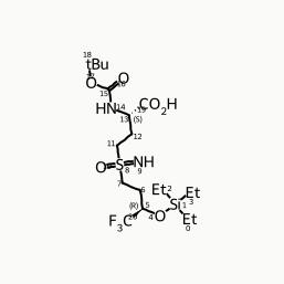 CC[Si](CC)(CC)O[C@H](CCS(=N)(=O)CC[C@H](NC(=O)OC(C)(C)C)C(=O)O)C(F)(F)F